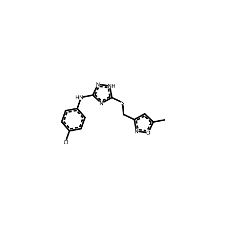 Cc1cc(CSc2nc(Nc3ccc(Cl)cc3)n[nH]2)no1